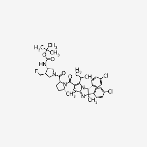 CC(C)C1=C(C(=O)N2[C@H](C)CC[C@H]2C(=O)N2C[C@@H](CF)[C@H](NC(=O)OC(C)(C)C)C2)SC2=N[C@@](C)(c3ccc(Cl)cc3)[C@@H](c3ccc(Cl)cc3)N21